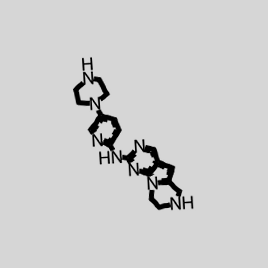 c1cc(Nc2ncc3cc4n(c3n2)CCNC4)ncc1N1CCNCC1